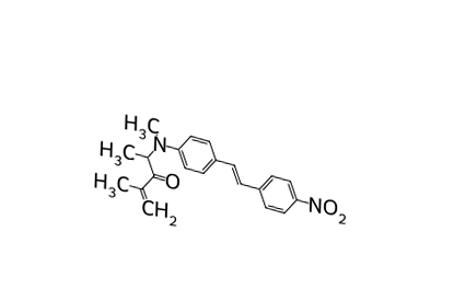 C=C(C)C(=O)C(C)N(C)c1ccc(C=Cc2ccc([N+](=O)[O-])cc2)cc1